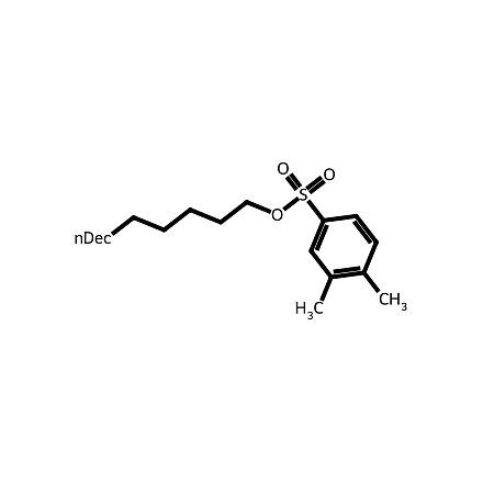 CCCCCCCCCCCCCCCOS(=O)(=O)c1ccc(C)c(C)c1